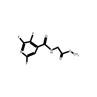 COC(=O)CNC(=O)c1cc(F)nc(F)c1F